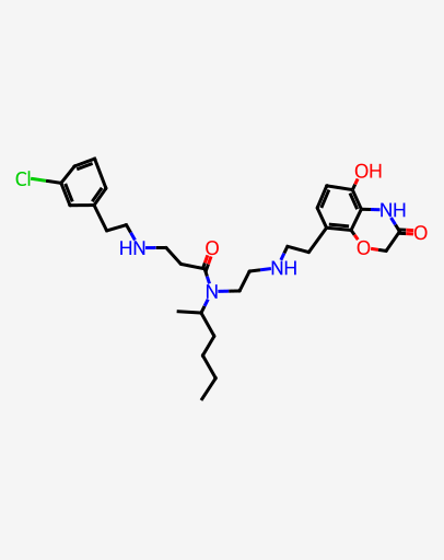 CCCCC(C)N(CCNCCc1ccc(O)c2c1OCC(=O)N2)C(=O)CCNCCc1cccc(Cl)c1